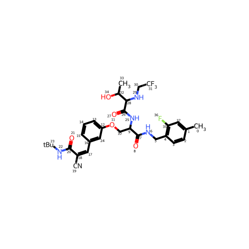 Cc1ccc(CNC(=O)C(COc2cccc(C=C(C#N)C(=O)NC(C)(C)C)c2)NC(=O)C(NCC(F)(F)F)C(C)O)c(F)c1